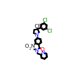 CN(Cc1ccccn1)C(=O)c1ccc(N2CCC(c3cc(Cl)cc(Cl)c3)(C(F)(F)F)C2)cc1[N+](=O)[O-]